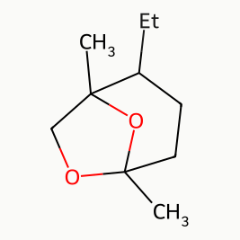 CCC1CCC2(C)OCC1(C)O2